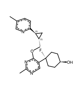 Cc1ccc([C@H]2C[C@@H]2COc2nc(C)ncc2[C@]2(F)CC[C@H](O)CC2)nc1